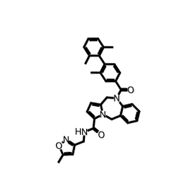 Cc1cc(CNC(=O)c2ccc3n2Cc2ccccc2N(C(=O)c2ccc(-c4c(C)cccc4C)c(C)c2)C3)no1